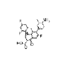 Cc1c(N2CCC(N)C(C)C2)c(F)cc2c(=O)c(C(=O)O)cn(-c3ccc(F)cc3F)c12